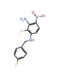 Nc1c([N+](=O)[O-])ccc(NCc2ccc(F)cc2)c1F